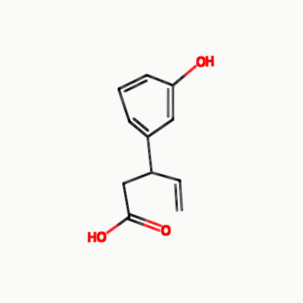 C=CC(CC(=O)O)c1cccc(O)c1